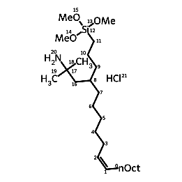 CCCCCCCC/C=C\CCCCCC(CCC[Si](OC)(OC)OC)CC(C)(C)N.Cl